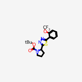 CC(C)(C)OC(=O)N1CCCC1c1nnc(-c2ccccc2OC(F)(F)F)s1